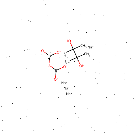 CC(C)(O)C(C)(C)O.[Na+].[Na+].[Na+].[Na+].[O-]B([O-])OB([O-])[O-]